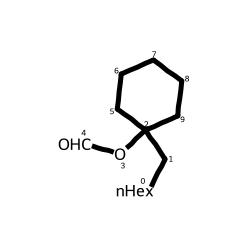 CCCCCCCC1(OC=O)CCCCC1